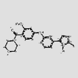 COc1cc(Nc2nccc(-c3cnc(C)n3C(C)C)n2)ccc1C(=O)N1CCOCC1